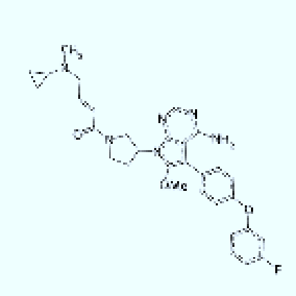 COc1c(-c2ccc(Oc3cccc(F)c3)cc2)c2c(N)ncnc2n1C1CCN(C(=O)C=CCN(C)C2CC2)C1